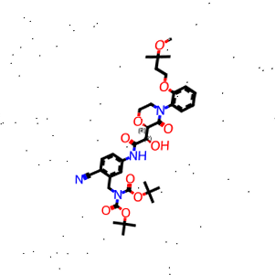 COC(C)(C)CCOc1ccccc1N1CCO[C@H]([C@@H](O)C(=O)Nc2ccc(C#N)c(CN(C(=O)OC(C)(C)C)C(=O)OC(C)(C)C)c2)C1=O